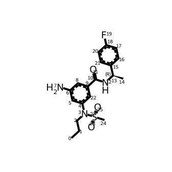 CCCN(c1cc(N)cc(C(=O)N[C@H](C)c2ccc(F)cc2)c1)S(C)(=O)=O